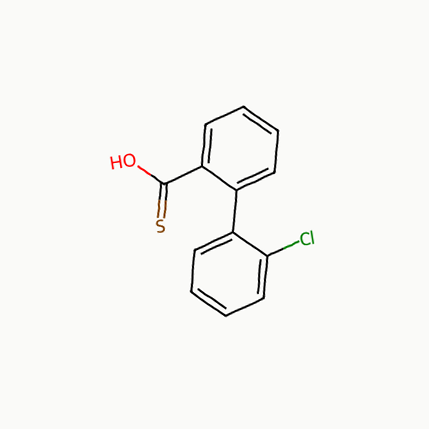 OC(=S)c1ccccc1-c1ccccc1Cl